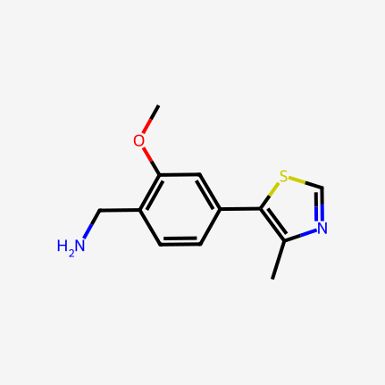 COc1cc(-c2scnc2C)ccc1CN